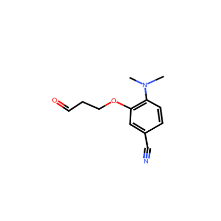 CN(C)c1ccc(C#N)cc1OCCC=O